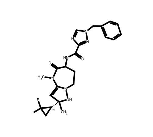 CN1C(=O)C(NC(=O)c2ncn(Cc3ccccc3)n2)CCN2NC(C)([C@@H]3CC3(F)F)C=C21